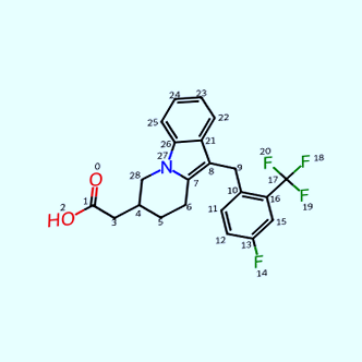 O=C(O)CC1CCc2c(Cc3ccc(F)cc3C(F)(F)F)c3ccccc3n2C1